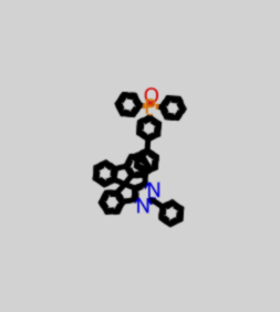 O=P(c1ccccc1)(c1ccccc1)c1ccc(-c2ccc(-c3nc(-c4ccccc4)nc4c3C3(c5ccccc5-c5ccccc53)c3ccccc3-4)cc2)cc1